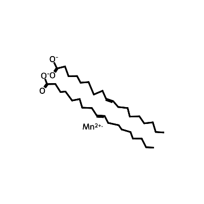 CCCCCCCCC=CCCCCCCCC(=O)[O-].CCCCCCCCC=CCCCCCCCC(=O)[O-].[Mn+2]